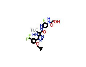 Cc1[nH]c2c(-c3cc(C(F)F)ccc3OCC3CC3)ncnc2c1C(=O)NC1CCC(NC(=O)CO)C(F)C1